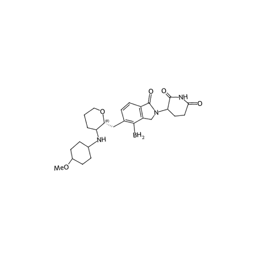 Bc1c(C[C@H]2OCCCC2NC2CCC(OC)CC2)ccc2c1CN(C1CCC(=O)NC1=O)C2=O